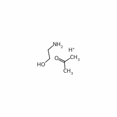 CC(C)=O.NCCO.[H+]